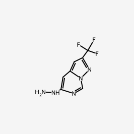 NNc1cc2cc(C(F)(F)F)nn2cn1